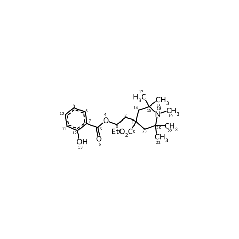 CCOC(=O)C1(CCOC(=O)c2ccccc2O)CC(C)(C)N(C)C(C)(C)C1